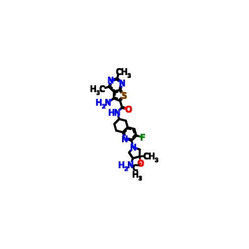 COC1(C)CN(c2nc3c(cc2F)CC(NC(=O)c2sc4nc(C)nc(C)c4c2N)CC3)CC1N